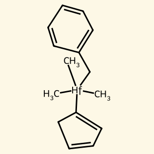 [CH3][Hf]([CH3])([CH3])([CH2]c1ccccc1)[C]1=CC=CC1